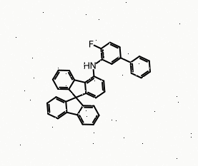 Fc1ccc(-c2ccccc2)cc1Nc1cccc2c1-c1ccccc1C21c2ccccc2-c2ccccc21